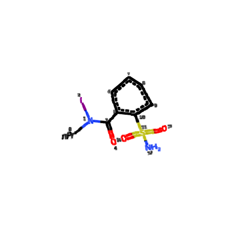 CCCN(I)C(=O)c1ccccc1S(N)(=O)=O